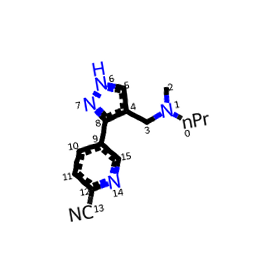 CCCN(C)Cc1c[nH]nc1-c1ccc(C#N)nc1